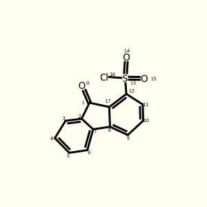 O=C1c2ccccc2-c2cccc(S(=O)(=O)Cl)c21